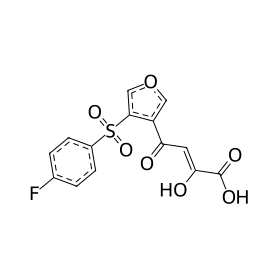 O=C(O)/C(O)=C/C(=O)c1cocc1S(=O)(=O)c1ccc(F)cc1